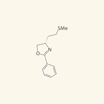 CSCC[C@H]1COC(c2ccccc2)=N1